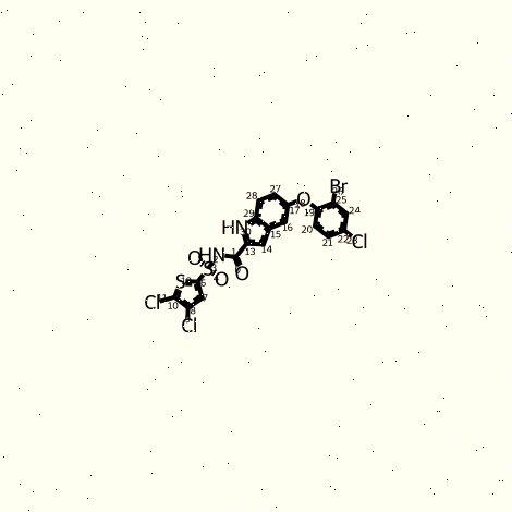 O=C(NS(=O)(=O)c1cc(Cl)c(Cl)s1)c1cc2cc(Oc3ccc(Cl)cc3Br)ccc2[nH]1